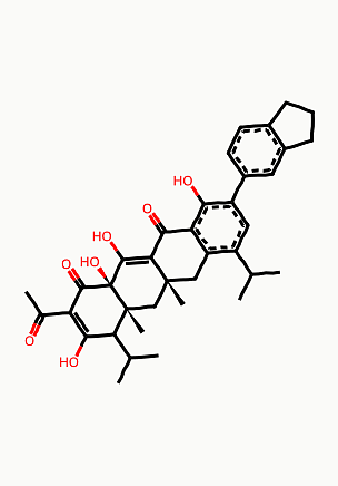 CC(=O)C1=C(O)C(C(C)C)[C@@]2(C)C[C@@]3(C)Cc4c(C(C)C)cc(-c5ccc6c(c5)CCC6)c(O)c4C(=O)C3=C(O)[C@@]2(O)C1=O